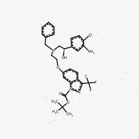 CC(C)(C)OC(=O)n1nc(C(F)(F)F)c2ccc(OCCN(Cc3ccccc3)C[C@H](O)c3ccc(Cl)c(N)c3)cc21